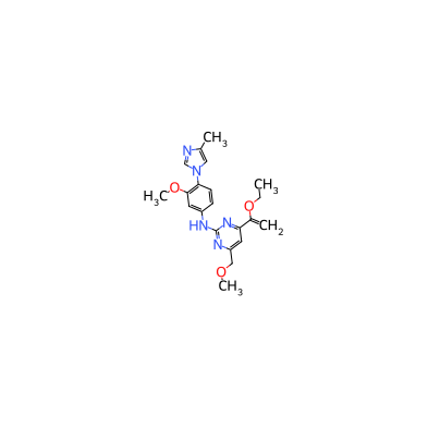 C=C(OCC)c1cc(COC)nc(Nc2ccc(-n3cnc(C)c3)c(OC)c2)n1